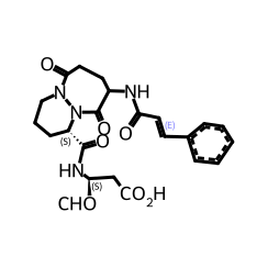 O=C[C@H](CC(=O)O)NC(=O)[C@@H]1CCCN2C(=O)CCC(NC(=O)/C=C/c3ccccc3)C(=O)N12